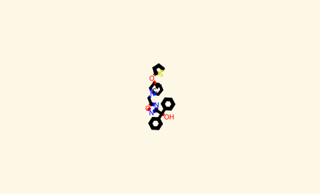 OC(c1ccccc1)(c1ccccc1)c1noc(C[N+]23CCC(CC2)C(Oc2cccs2)C3)n1